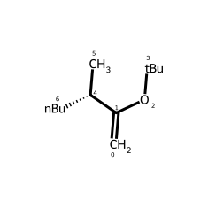 C=C(OC(C)(C)C)[C@@H](C)CCCC